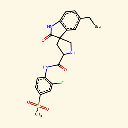 CC(C)(C)Cc1ccc2c(c1)C1(CNC(C(=O)Nc3ccc(S(C)(=O)=O)cc3F)C1)C(=O)N2